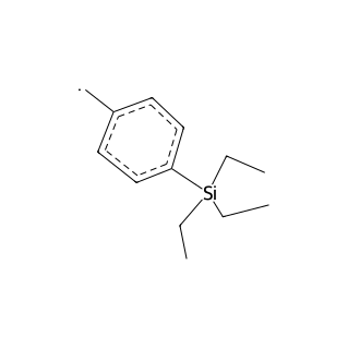 [CH2]c1ccc([Si](CC)(CC)CC)cc1